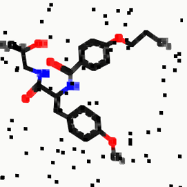 C[C@@H](O)CNC(=O)C(=Cc1ccc(OC(F)(F)F)cc1)NC(=O)c1ccc(OCCC(F)(F)F)cc1